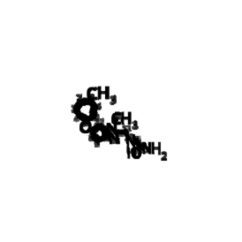 CC1=CCC=C(Oc2ccc3nc(CNCC(N)=O)n(C)c3c2)C=C1